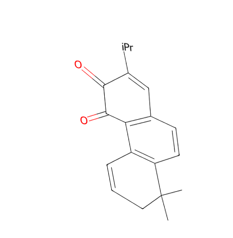 CC(C)C1=Cc2ccc3c(c2C(=O)C1=O)C=CCC3(C)C